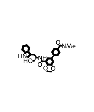 CNC(=O)c1ccc(-c2cc3c(c(C(=O)N[C@@H](CO)Cc4c[nH]c5ccccc45)c2)OCCO3)cc1